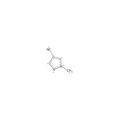 [CH2]n1cc(C#N)cn1